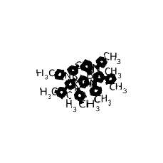 Cc1ccc(N2c3ccc#cc3B3c4cc5c(cc4N(c4ccc(C)cc4)c4cc(-c6cc(C)ccc6C)cc2c43)N(c2ccc(C)cc2)c2cc(-c3cc(C)ccc3C)cc3c2B5c2cc(C)ccc2N3c2ccc(C)cc2)cc1